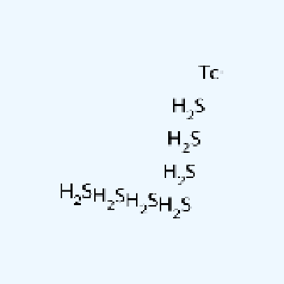 S.S.S.S.S.S.S.[Tc]